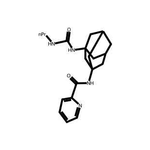 CCCNC(=O)NC12CC3CC(C1)CC(NC(=O)c1ccccn1)(C3)C2